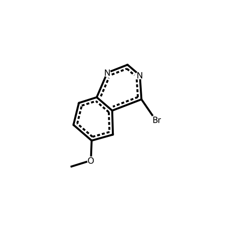 COc1ccc2ncnc(Br)c2c1